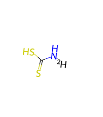 [2H]NC(=S)S